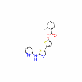 Cc1ccccc1C(=O)Oc1ccc(-c2cnc(Nc3ccccn3)s2)s1